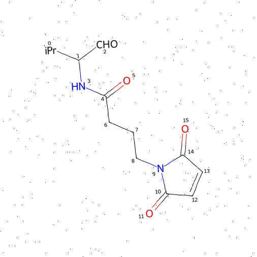 CC(C)C(C=O)NC(=O)CCCN1C(=O)C=CC1=O